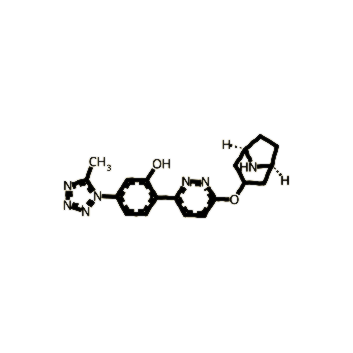 Cc1nnnn1-c1ccc(-c2ccc(OC3C[C@H]4CC[C@@H](C3)N4)nn2)c(O)c1